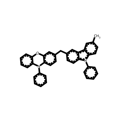 Cc1ccc2c(c1)c1cc(Cc3ccc4c(c3)Oc3ccccc3N4c3ccccc3)ccc1n2-c1ccccc1